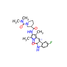 Cc1[nH]c(/C=C2\C(=O)Nc3ccc(F)cc32)c(C)c1NC(=O)C1CCCN(C(=O)N(C)C)C1